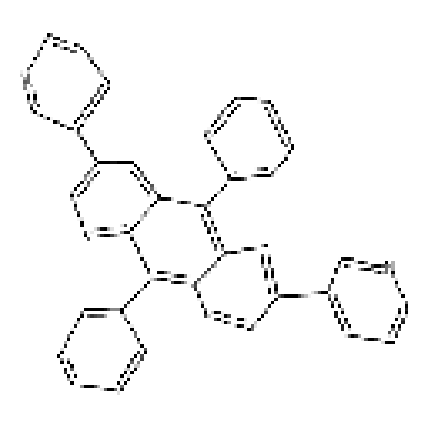 c1ccc(-c2c3ccc(-c4cccnc4)cc3c(-c3ccccc3)c3cc(-c4cccnc4)ccc23)cc1